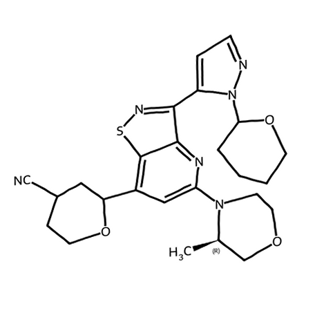 C[C@@H]1COCCN1c1cc(C2CC(C#N)CCO2)c2snc(-c3ccnn3C3CCCCO3)c2n1